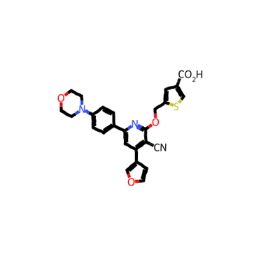 N#Cc1c(-c2ccoc2)cc(-c2ccc(N3CCOCC3)cc2)nc1OCc1cc(C(=O)O)cs1